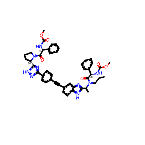 CCCN(C(=O)[C@H](NC(=O)OC)c1ccccc1)C(C)c1nc2cc(C#Cc3ccc(-c4n[nH]c([C@@H]5CCCN5C(=O)[C@H](NC(=O)OC)c5ccccc5)n4)cc3)ccc2[nH]1